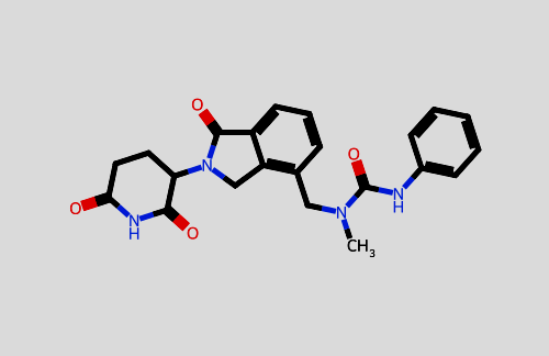 CN(Cc1cccc2c1CN(C1CCC(=O)NC1=O)C2=O)C(=O)Nc1ccccc1